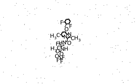 Cc1cc(OCc2c(F)cccc2F)c2nc(C)c(C(=O)NCC(C)(CF)NC(=O)OC(=O)C(F)(F)F)n2c1